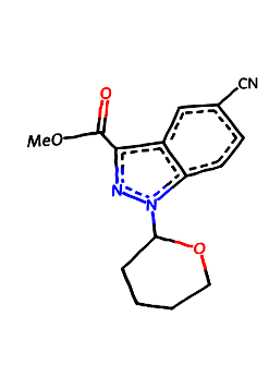 COC(=O)c1nn(C2CCCCO2)c2ccc(C#N)cc12